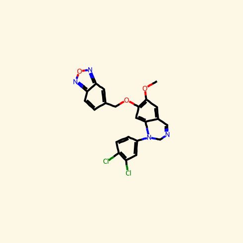 COc1cc2c(cc1OCc1ccc3nonc3c1)N(c1ccc(Cl)c(Cl)c1)CN=C2